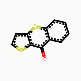 O=c1c2ccccc2sc2ccsc12